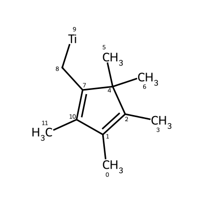 CC1=C(C)C(C)(C)C([CH2][Ti])=C1C